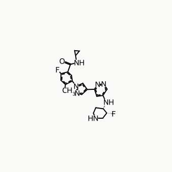 Cc1cc(F)c(C(=O)NC2CC2)cc1-n1cc(-c2cc(N[C@H]3CCNC[C@H]3F)cnn2)cn1